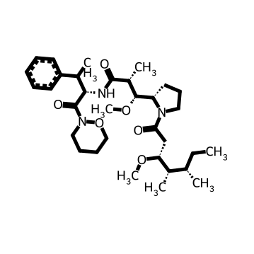 CC[C@H](C)[C@H](C)[C@@H](CC(=O)N1CCC[C@H]1[C@H](OC)[C@@H](C)C(=O)N[C@H](C(=O)N1CCCCO1)C(C)c1ccccc1)OC